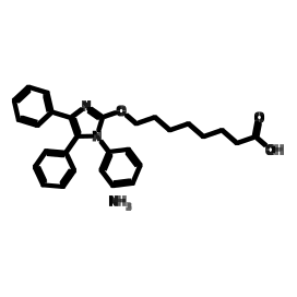 N.O=C(O)CCCCCCCOc1nc(-c2ccccc2)c(-c2ccccc2)n1-c1ccccc1